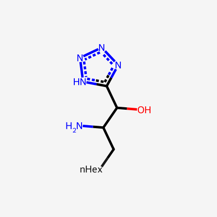 CCCCCCCC(N)C(O)c1nnn[nH]1